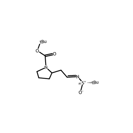 CC(C)(C)OC(=O)N1CCCC1CC=N[S@@+]([O-])C(C)(C)C